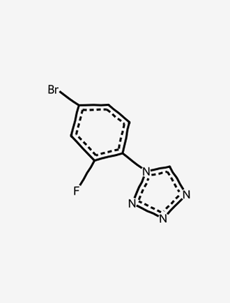 Fc1cc(Br)ccc1-n1cnnn1